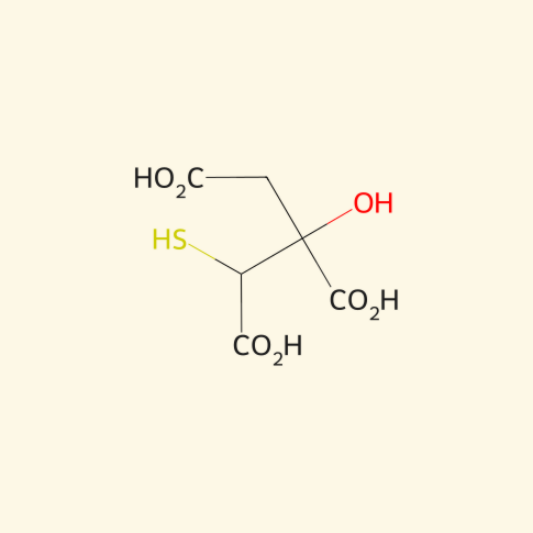 O=C(O)CC(O)(C(=O)O)C(S)C(=O)O